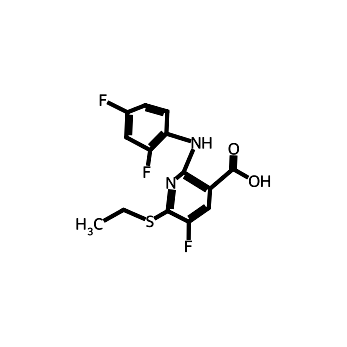 CCSc1nc(Nc2ccc(F)cc2F)c(C(=O)O)cc1F